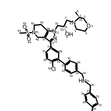 C[C@H]1COCCN1C[C@H](O)Cn1nc(-c2ccc(Cl)c(-c3ccc(CNCc4ccc(Cl)cc4)cc3)c2)c2c1CCN(S(C)(=O)=O)C2